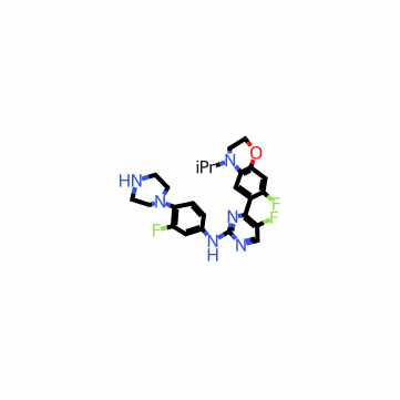 CC(C)N1CCOc2cc(F)c(-c3nc(Nc4ccc(N5CCNCC5)c(F)c4)ncc3F)cc21